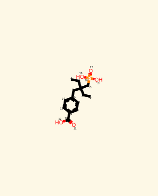 CCC(CC)(Cc1ccc(C(=O)O)cc1)CP(=O)(O)O